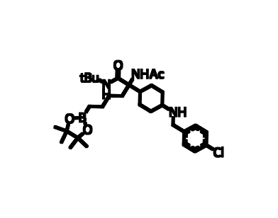 CC(=O)NC(CCCCB1OC(C)(C)C(C)(C)O1)(C(=O)NC(C)(C)C)C1CCC(NCc2ccc(Cl)cc2)CC1